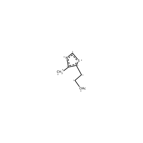 CC(=O)OCCc1scnc1C.[CH3]